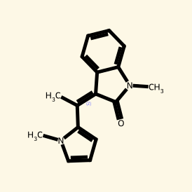 C/C(=C1/C(=O)N(C)c2ccccc21)c1cccn1C